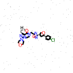 Cc1nc(N2CCOCC2)n2ccn(Cc3nc([C@@H]4CO[C@@H](c5ccc(Cl)cc5)C4)no3)c(=O)c12